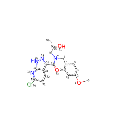 COc1ccc(CN(C[C@H](C)O)C(=O)c2n[nH]c3nc(Cl)ccc23)cc1